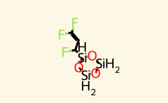 FC(F)=CC(F)[SiH]1O[SiH2]O[SiH2]O1